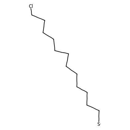 [S]CCCCCCCCCCCCCl